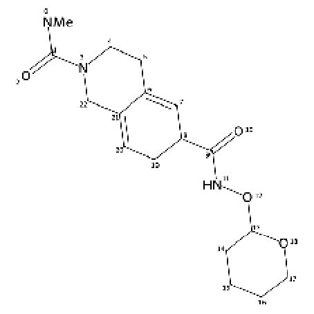 CNC(=O)N1CCC2=CC(C(=O)NOC3CCCCO3)CC=C2C1